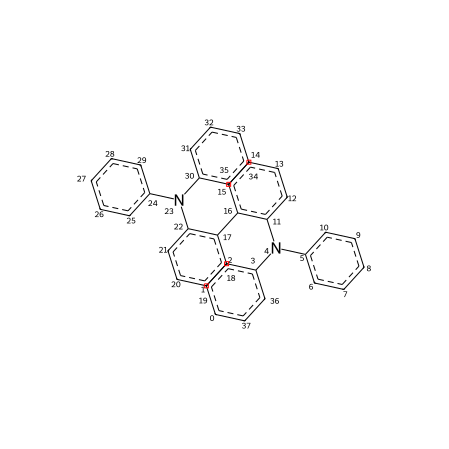 c1ccc(N(c2ccccc2)c2ccccc2-c2ccccc2N(c2ccccc2)c2ccccc2)cc1